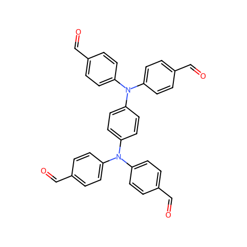 O=Cc1ccc(N(c2ccc(C=O)cc2)c2ccc(N(c3ccc(C=O)cc3)c3ccc(C=O)cc3)cc2)cc1